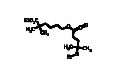 CCOC(=O)C(C)(C)CCCCOC(=C=O)CCC(C)(C)OCC